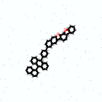 c1ccc2c(-c3c4ccccc4c(-c4ccc(-c5ccc6cc7oc8c(ccc9c%10ccccc%10oc98)c7cc6c5)cc4)c4ccccc34)cccc2c1